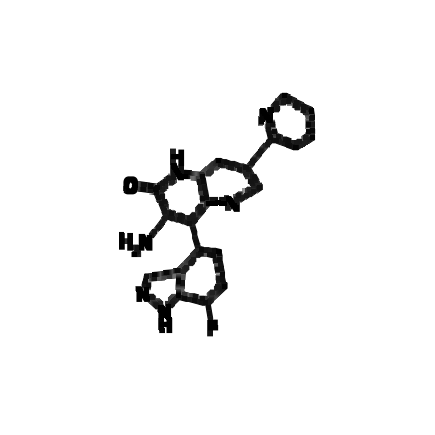 Nc1c(-c2ccc(F)c3[nH]ncc23)c2ncc(-c3ccccn3)cc2[nH]c1=O